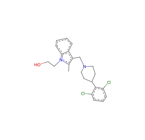 Cc1c(CN2CCC(c3c(Cl)cccc3Cl)CC2)c2ccccc2n1CCO